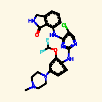 CN1CCN(c2ccc(Nc3ncc(Cl)c(Nc4cccc5c4C(=O)NC5)n3)c(OC(F)F)c2)CC1